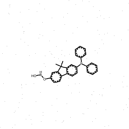 CC1(C)c2cc(OBO)ccc2-c2ccc(N(c3ccccc3)c3ccccc3)cc21